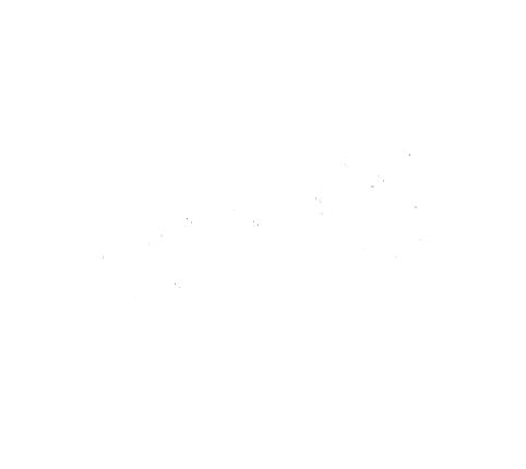 O=[N+]([O-])c1ccccc1S(=O)(=O)NCCNCCNS(=O)(=O)c1ccccc1[N+](=O)[O-]